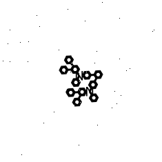 c1ccc(-c2ccc(N(c3ccccc3)c3ccc(-c4ccccc4-c4ccc(N(c5ccccc5)c5ccc(-c6ccccc6)c(-c6ccccc6)c5)cc4)cc3)cc2-c2ccccc2)cc#1